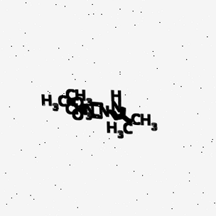 CC(C)c1c[nH]c(N2CCN(C(=O)OC(C)(C)C)CC2)c1